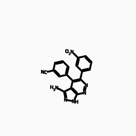 N#Cc1cccc(-c2c(-c3cccc([N+](=O)[O-])c3)nnc3[nH]nc(N)c23)c1